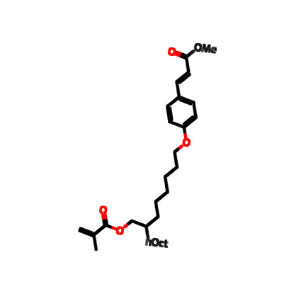 C=C(C)C(=O)OCC(CCCCCCCC)CCCCCCOc1ccc(C=CC(=O)OC)cc1